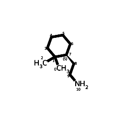 CC1(C)CCCC[C@H]1CCN